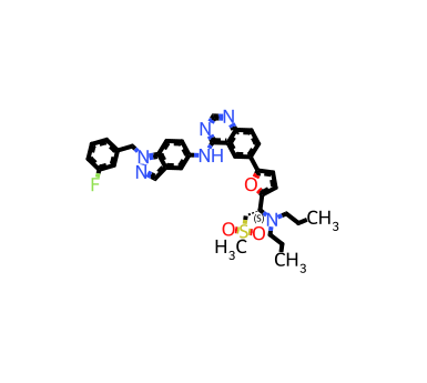 CCCN(CCC)[C@H](CS(C)(=O)=O)c1ccc(-c2ccc3ncnc(Nc4ccc5c(cnn5Cc5cccc(F)c5)c4)c3c2)o1